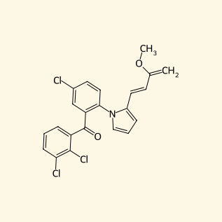 C=C(/C=C/c1cccn1-c1ccc(Cl)cc1C(=O)c1cccc(Cl)c1Cl)OC